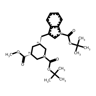 COC(=O)[C@@H]1C[C@H](Cc2cn(C(=O)OC(C)(C)C)c3ccccc23)CN(C(=O)OC(C)(C)C)C1